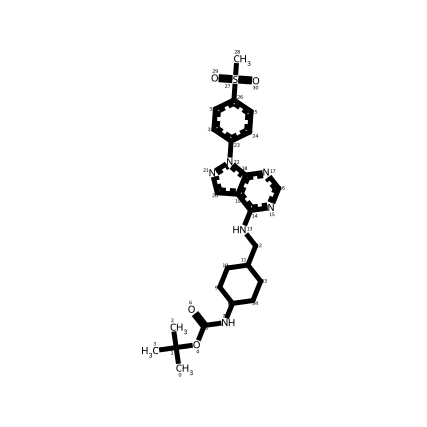 CC(C)(C)OC(=O)NC1CCC(CNc2ncnc3c2cnn3-c2ccc(S(C)(=O)=O)cc2)CC1